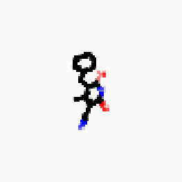 Cc1c(Cc2ccccc2)c(O)[nH]c(=O)c1C#N